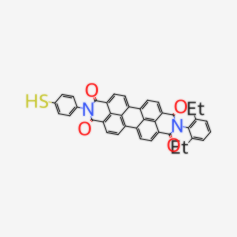 CCc1cccc(CC)c1N1C(=O)c2ccc3c4ccc5c6c(ccc(c7ccc(c2c37)C1=O)c64)C(=O)N(c1ccc(S)cc1)C5=O